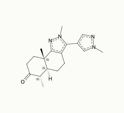 C[C@@H]1C(=O)CC[C@]2(C)c3nn(C)c(-c4cnn(C)c4)c3CC[C@@H]12